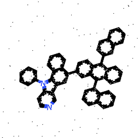 c1ccc(-n2c3ccncc3c3cc(-c4ccc5c(-c6ccc7ccccc7c6)c6ccccc6c(-c6cccc7ccccc67)c5c4)c4ccccc4c32)cc1